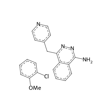 COc1ccccc1Cl.Nc1nnc(Cc2ccncc2)c2ccccc12